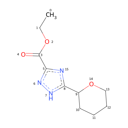 CCOC(=O)c1n[nH]c(C2CCCCO2)n1